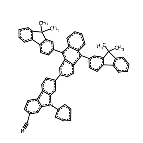 CC1(C)c2ccccc2-c2ccc(-c3c4ccccc4c(-c4ccc5c(c4)C(C)(C)c4ccccc4-5)c4cc(-c5ccc6c7ccc(C#N)cc7n(-c7ccccc7)c6c5)ccc34)cc21